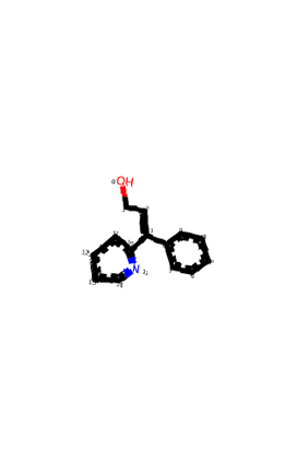 OCC=C(c1ccccc1)c1ccccn1